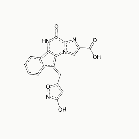 O=C(O)c1cn2c(n1)c(=O)[nH]c1c3ccccc3c(=Cc3cc(O)no3)c12